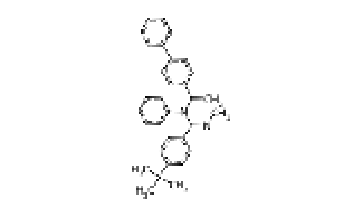 C=C(c1ccc(-c2ccccc2)cc1)N(/C(=N\C)c1ccc(C(C)(C)C)cc1)c1ccccc1